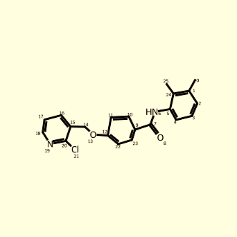 Cc1cccc(NC(=O)c2ccc(OCc3cccnc3Cl)cc2)c1C